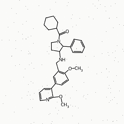 COc1ccc(-c2cccnc2OC)cc1CNC1CCN(C(=O)C2CCCCC2)C1c1ccccc1